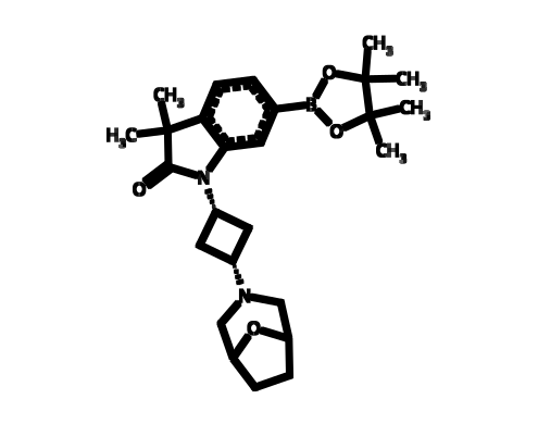 CC1(C)C(=O)N([C@H]2C[C@@H](N3CC4CCC(C3)O4)C2)c2cc(B3OC(C)(C)C(C)(C)O3)ccc21